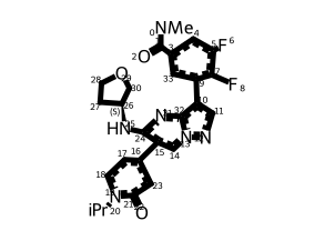 CNC(=O)c1cc(F)c(F)c(-c2cnn3cc(-c4ccn(C(C)C)c(=O)c4)c(N[C@H]4CCOC4)nc23)c1